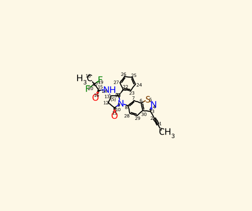 CC#Cc1nsc2cc(N3C(=O)C[C@H](NC(=O)C(C)(F)F)[C@H]3c3ccccc3)ccc12